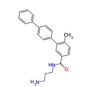 Cc1ccc(C(=O)NCCCN)cc1-c1ccc(-c2ccccc2)cc1